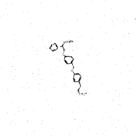 CO/N=C(\COc1ccc(COc2ccc(CCC(=O)O)cc2)cc1)c1ccccc1